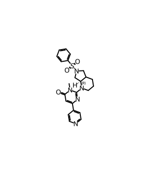 Cn1c(N2CCCC3CN(S(=O)(=O)c4ccccc4)C[C@@H]32)nc(-c2ccncc2)cc1=O